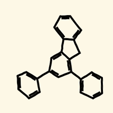 [c]1c(-c2ccccc2)cc2c(c1-c1ccccc1)Cc1ccccc1-2